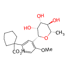 COc1ccc(C2(C(=O)O)CCCCC2)cc1[C@H]1O[C@@H](C)[C@H](O)[C@@H](O)[C@H]1O